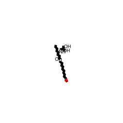 CCCCCCCCCCCCOC(=O)CCC(CCCC)NCC(O)CO